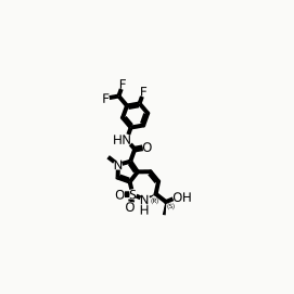 C[C@H](O)[C@H]1C=Cc2c(cn(C)c2C(=O)Nc2ccc(F)c(C(F)F)c2)S(=O)(=O)N1